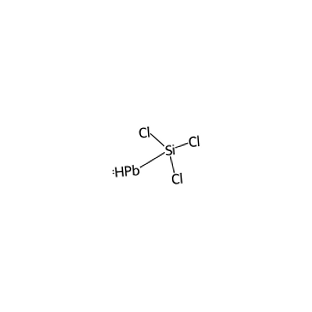 Cl[Si](Cl)(Cl)[PbH]